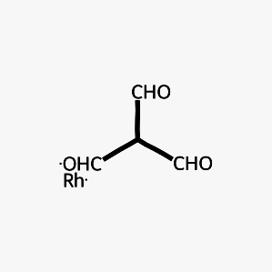 O=[C]C(C=O)C=O.[Rh]